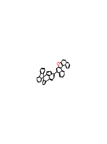 c1ccc2c(c1)-c1ccccc1C21c2ccccc2-c2ccc(-c3cc4oc5ccc6ccccc6c5c4c4ccccc34)c3cccc1c23